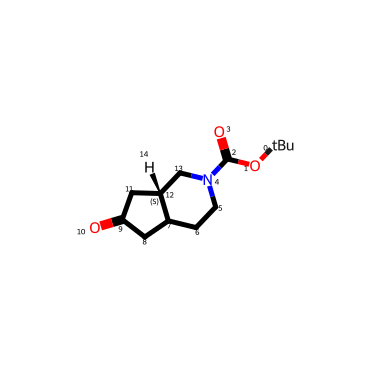 CC(C)(C)OC(=O)N1CCC2CC(=O)C[C@@H]2C1